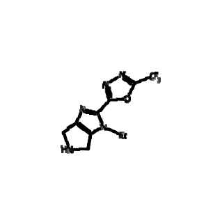 CCn1c(-c2nnc(C(F)(F)F)o2)nc2c1CNC2